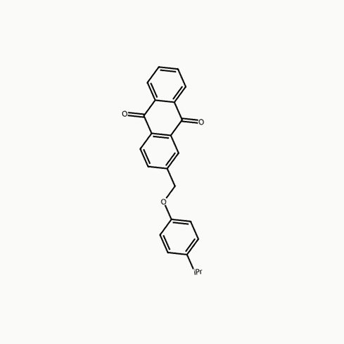 CC(C)c1ccc(OCc2ccc3c(c2)C(=O)c2ccccc2C3=O)cc1